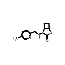 O=C1OC2CCC2N1NCc1ccc(C(F)(F)F)cn1